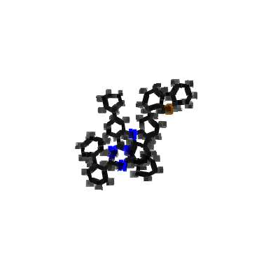 c1ccc(-c2ccc(-c3nc(-c4ccccc4)nc(-c4ccccc4-c4ccccc4)n3)c(-n3c4ccccc4c4ccc(-c5cccc6c5sc5ccccc56)cc43)c2)cc1